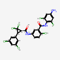 Nc1cc(F)c(NC(=O)c2cc(NC(=O)[C@H]3C(c4cc(Cl)cc(Cl)c4)C3(Cl)Cl)ccc2Cl)c(F)c1